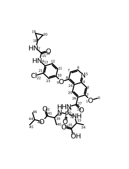 COc1cc2nccc(Oc3ccc(NC(=O)NC4CC4)c(Cl)c3)c2cc1C(=O)NP(=O)(NC(C)C(=O)O)NC(C)C(=O)OC(C)C